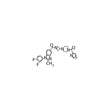 Cc1nc2cc(C(=O)N3CC(N4CCN(C(=O)c5cscn5)CC4)C3)ccc2n1-c1ccc(F)c(F)c1